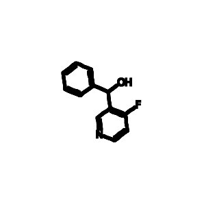 OC(c1ccccc1)c1cnccc1F